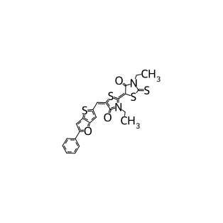 CCN1C(=O)/C(=c2\s/c(=C/c3cc4oc(-c5ccccc5)cc4s3)c(=O)n2CC)SC1=S